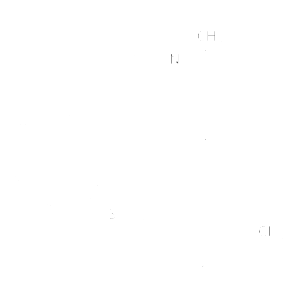 Cc1ccc2c(c1)C1=C(CCN(C)CC1)c1ccccc1S2